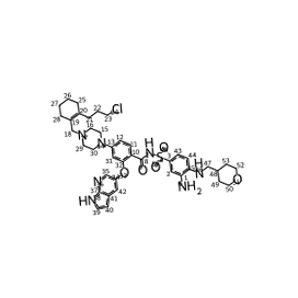 Nc1cc(S(=O)(=O)NC(=O)c2ccc(N3CCN(CC4=C(CCCCl)CCCC4)CC3)cc2Oc2cnc3[nH]ccc3c2)ccc1NCC1CCOCC1